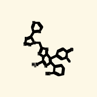 Cn1cc(-c2c(-c3ccccc3C#N)nc(N)n3nc(Cn4nnnc4-c4cnccn4)nc23)ccc1=O